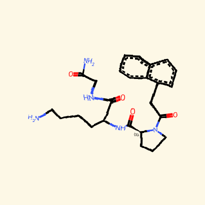 NCCCCC(NC(=O)[C@@H]1CCCN1C(=O)Cc1cccc2ccccc12)C(=O)NCC(N)=O